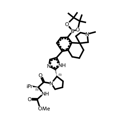 COC(=O)N[C@H](C(=O)N1CCC[C@H]1c1ncc(-c2ccc(B3OC(C)(C)C(C)(C)O3)c3c2CCCC32CCN(C)C2)[nH]1)C(C)C